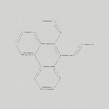 C/C=C/c1c(/C=N\C)c2ccccc2c2ccccc12